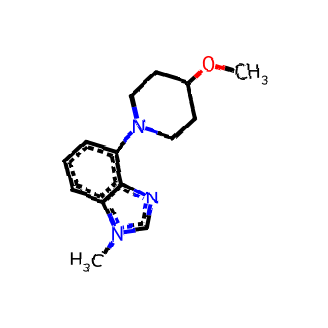 COC1CCN(c2cccc3c2ncn3C)CC1